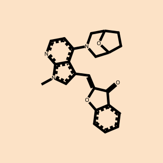 Cn1cc(/C=C2\Oc3ccc[c]c3C2=O)c2c(N3CC4CCC(C3)O4)ccnc21